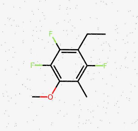 CCc1c(F)c(C)c(OC)c(F)c1F